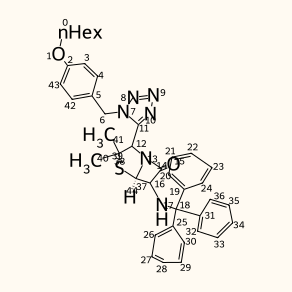 CCCCCCOc1ccc(Cn2nnnc2C2N3C(=O)C(NC(c4ccccc4)(c4ccccc4)c4ccccc4)[C@H]3SC2(C)C)cc1